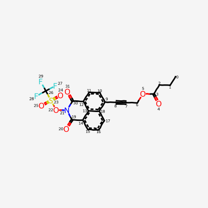 CCCC(=O)OCC#Cc1ccc2c3c(cccc13)C(=O)N(OS(=O)(=O)C(F)(F)F)C2=O